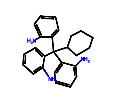 Nc1ccccc1C(c1ccccc1N)(c1ccccc1N)C1CCCCC1